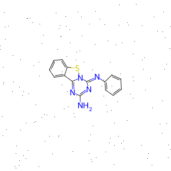 Nc1nc(=Nc2ccccc2)n2sc3ccccc3c2n1